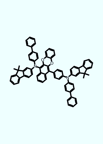 CC1(C)c2ccccc2-c2ccc(N(c3ccc(-c4ccccc4)cc3)c3ccc(-c4c5c(c(N(c6ccc(-c7ccccc7)cc6)c6ccc7c(c6)C(C)(C)c6ccccc6-7)c6ccccc46)Oc4ccccc4O5)cc3)cc21